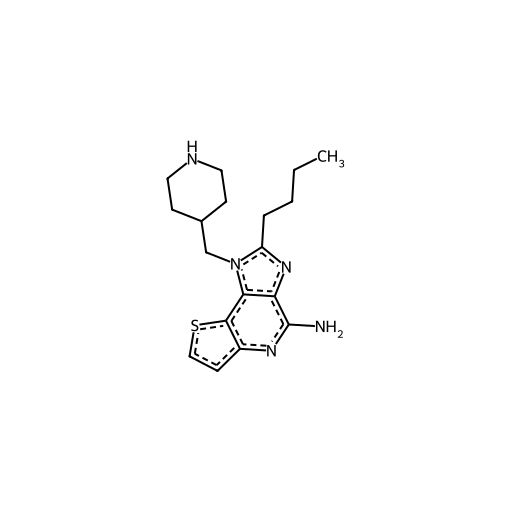 CCCCc1nc2c(N)nc3ccsc3c2n1CC1CCNCC1